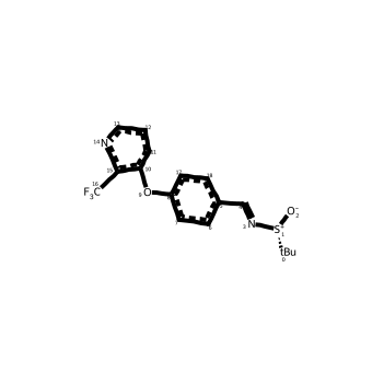 CC(C)(C)[S@@+]([O-])N=Cc1ccc(Oc2cccnc2C(F)(F)F)cc1